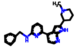 CN1CCCC(c2cc3c(-c4cccc(NCc5ccccc5)n4)ccnc3[nH]2)C1